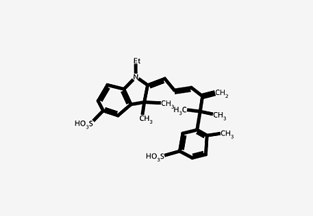 C=C(C=CC=C1N(CC)c2ccc(S(=O)(=O)O)cc2C1(C)C)C(C)(C)c1cc(S(=O)(=O)O)ccc1C